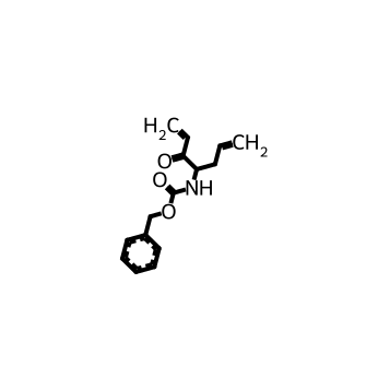 C=CCC(NC(=O)OCc1ccccc1)C(=O)C=C